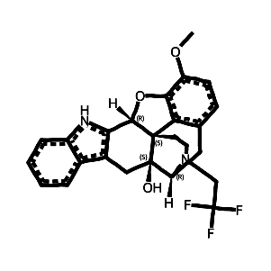 COc1ccc2c3c1O[C@H]1c4[nH]c5ccccc5c4C[C@@]4(O)[C@@H](C2)N(CC(F)(F)F)CC[C@]314